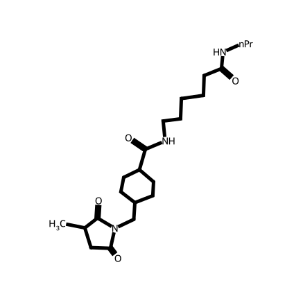 CCCNC(=O)CCCCCNC(=O)C1CCC(CN2C(=O)CC(C)C2=O)CC1